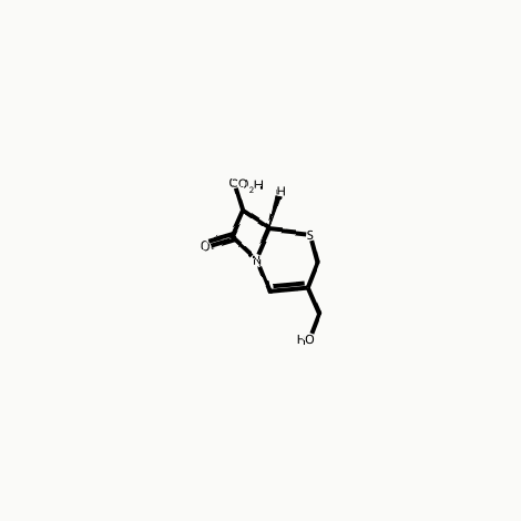 O=C(O)C1C(=O)N2C=C(CO)CS[C@@H]12